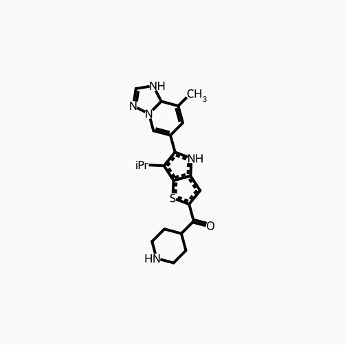 CC1=CC(c2[nH]c3cc(C(=O)C4CCNCC4)sc3c2C(C)C)=CN2N=CNC12